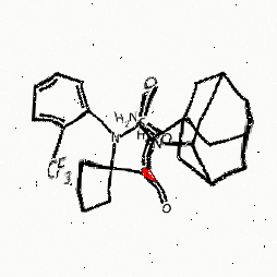 NC(=O)C12CC3CC(C1)C(NC(=O)C1(N(c4ccccc4C(F)(F)F)[SH](=O)=O)CCC1)C(C3)C2